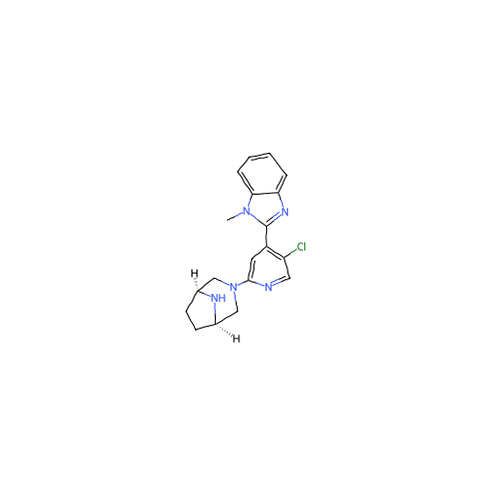 Cn1c(-c2cc(N3C[C@H]4CC[C@@H](C3)N4)ncc2Cl)nc2ccccc21